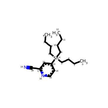 CCC[CH2][Sn]([CH2]CCC)([CH2]CCC)[c]1ccnc(C#N)c1